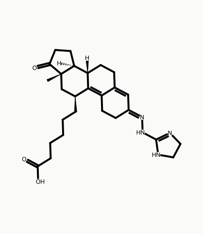 C[C@]12C[C@H](CCCCCC(=O)O)C3=C4CCC(=NNC5=NCCN5)C=C4CC[C@H]3[C@@H]1CCC2=O